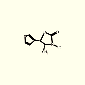 CCN1C(=O)O[C@H](c2ccsc2)[C@@H]1C